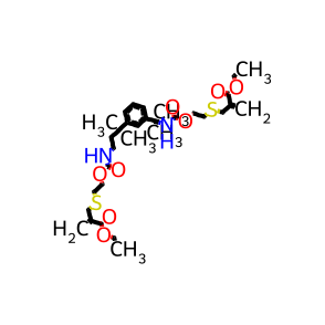 C=C(CSCCOC(=O)NCCC(C)(C)c1cccc(C(C)(C)NC(=O)OCCSCC(=C)C(=O)OCC)c1)C(=O)OCC